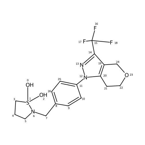 OS1(O)CCCN1Cc1ccc(-n2nc(C(F)(F)F)c3c2CCOC3)cc1